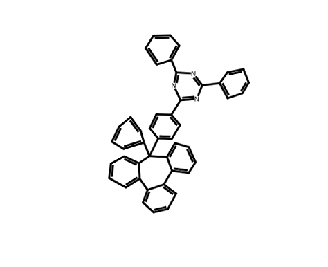 c1ccc(-c2nc(-c3ccccc3)nc(-c3ccc(C4(c5ccccc5)c5ccccc5-c5ccccc5-c5ccccc54)cc3)n2)cc1